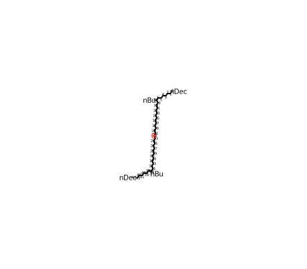 CCCCCCCCCCCCCCCCC(CCCC)CCCCCCCCCCCCCOCCCCCCCCCCCCCC(CCCC)CCCCCCCCCCCCCCCC